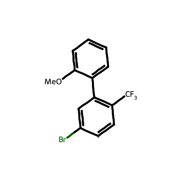 COc1ccccc1-c1cc(Br)[c]cc1C(F)(F)F